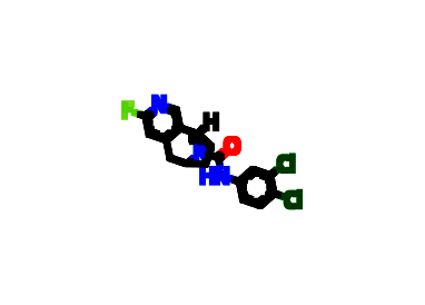 O=C(Nc1ccc(Cl)c(Cl)c1)N1C2CC[C@H]1c1cnc(F)cc1C2